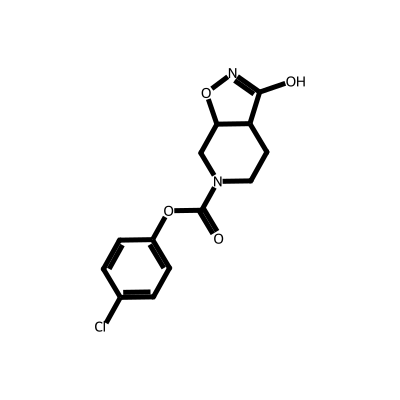 O=C(Oc1ccc(Cl)cc1)N1CCC2C(O)=NOC2C1